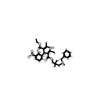 CCOC(=O)C1=C(C)NC(C)=C(C(=O)OCC(C)(C)CN(C)Cc2ccccc2)C1c1cccc([N+](=O)[O-])c1F